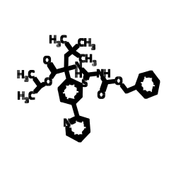 CC(C)OC(=O)C(CC(C)(C)C)(NC(=S)NC(=O)OCc1ccccc1)c1ccc(-c2ccccn2)cc1